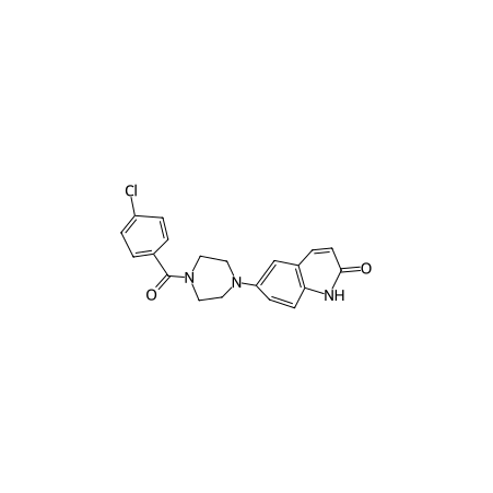 O=C(c1ccc(Cl)cc1)N1CCN(c2ccc3[nH]c(=O)ccc3c2)CC1